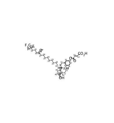 C[C@]12CC[C@@H]3c4ccc(OC(=O)C=CC(=O)O)cc4C[C@@H](CCCCCCCCC[S+]([O-])CCCC(F)(F)C(F)(F)F)[C@H]3[C@@H]1CC[C@@H]2O